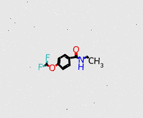 CCNC(=O)c1ccc(OC(F)F)cc1